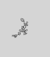 Cn1c(=O)n(CCN2CCOCC2)c2cc3[nH]c(NC(=O)c4ccc(-c5cn[nH]c5)s4)c(C(=O)NC4CC4)c3cc21